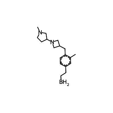 BCCc1ccc(CC2CN(C3CCN(C)C3)C2)c(C)c1